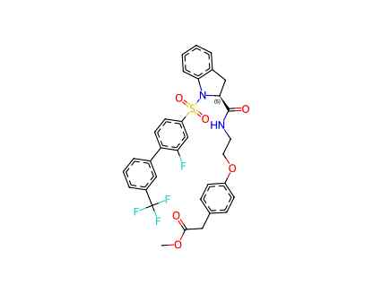 COC(=O)Cc1ccc(OCCNC(=O)[C@@H]2Cc3ccccc3N2S(=O)(=O)c2ccc(-c3cccc(C(F)(F)F)c3)c(F)c2)cc1